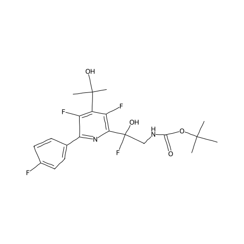 CC(C)(C)OC(=O)NCC(O)(F)c1nc(-c2ccc(F)cc2)c(F)c(C(C)(C)O)c1F